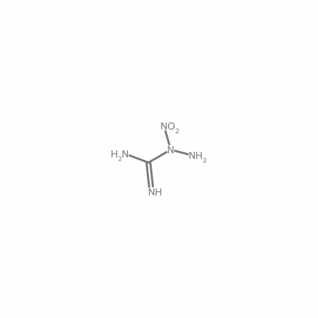 N=C(N)N(N)[N+](=O)[O-]